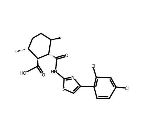 C[C@@H]1CC[C@@H](C)[C@H](C(=O)Nc2nc(-c3ccc(Cl)cc3Cl)cs2)[C@H]1C(=O)O